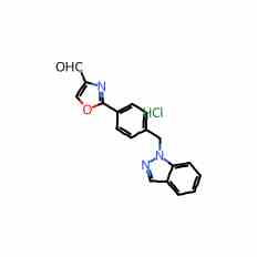 Cl.O=Cc1coc(-c2ccc(Cn3ncc4ccccc43)cc2)n1